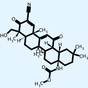 COC(=O)N[C@]12CCC(C)(C)C[C@H]1[C@H]1C(=O)C=C3[C@@]4(C)C=C(C#N)C(=O)[C@@](C)(CO)[C@@H]4CC[C@@]3(C)[C@]1(C)CC2